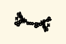 C=CC(=O)N1CCN(c2nc(OCCOC3CC4CC(c5ccc(N6CCc7c(nc(OCCOC8CCCC89CC9)nc7N7CCN(C(=O)C=C)[C@@H](CC#N)C7)C6)c6c(C)cccc56)CC4C3)nc3c2CCN(c2cccc4cccc(C)c24)C3)C[C@@H]1CC#N